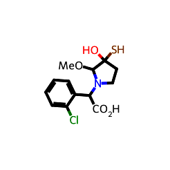 COC1N(C(C(=O)O)c2ccccc2Cl)CCC1(O)S